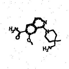 COc1cc2c(N3CCC(C)(CN)CC3)nccc2cc1C(N)=O